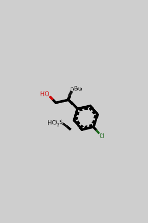 CCCCC(CO)c1ccc(Cl)cc1.CS(=O)(=O)O